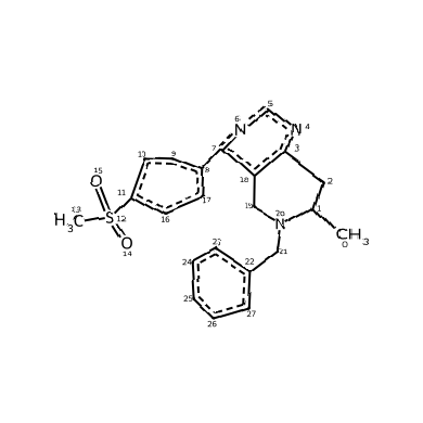 CC1Cc2ncnc(-c3ccc(S(C)(=O)=O)cc3)c2CN1Cc1ccccc1